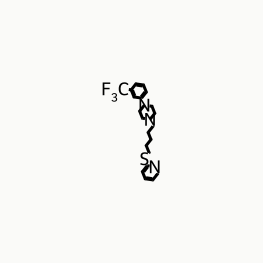 FC(F)(F)c1cccc(N2CCN(CCCCCSc3ccccn3)CC2)c1